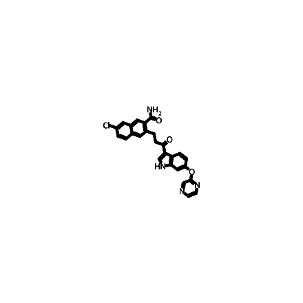 NC(=O)c1cc2cc(Cl)ccc2cc1CCC(=O)c1c[nH]c2cc(Oc3cnccn3)ccc12